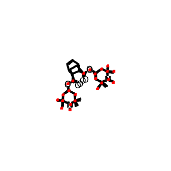 CN1C(C)(C)CC(OC(=O)C2C3C=CC(C2C(=O)OC2CC(C)(C)N(C)C(C)(C)C2)C(C(=O)OC2CC(C)(C)N(C)C(C)(C)C2)C3C(=O)OC2CC(C)(C)N(C)C(C)(C)C2)CC1(C)C